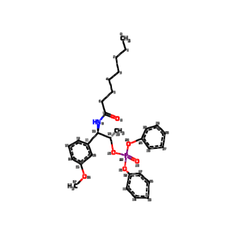 CCCCCCCC(=O)N[C@H](c1cccc(OC)c1)[C@H](C)OP(=O)(Oc1ccccc1)Oc1ccccc1